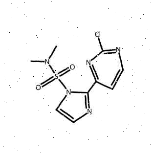 CN(C)S(=O)(=O)n1ccnc1-c1ccnc(Cl)n1